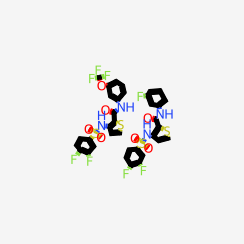 O=C(Nc1cccc(F)c1)c1sccc1NS(=O)(=O)c1ccc(F)c(F)c1.O=C(Nc1cccc(OC(F)(F)F)c1)c1sccc1NS(=O)(=O)c1ccc(F)c(F)c1